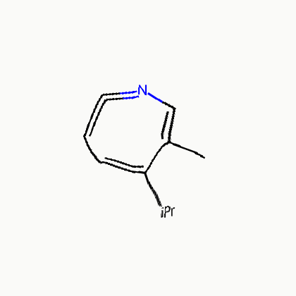 CC1=CN=C=CC=C1C(C)C